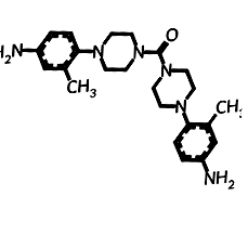 Cc1cc(N)ccc1N1CCN(C(=O)N2CCN(c3ccc(N)cc3C)CC2)CC1